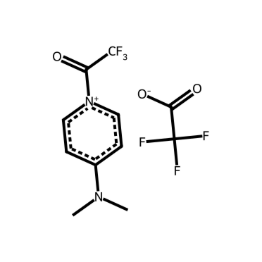 CN(C)c1cc[n+](C(=O)C(F)(F)F)cc1.O=C([O-])C(F)(F)F